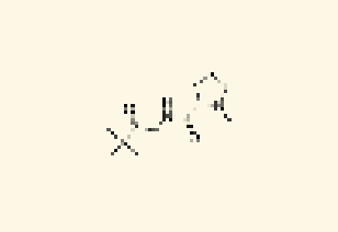 CN1CCC[C@H]1C(=O)NCC(=O)C(C)(C)C